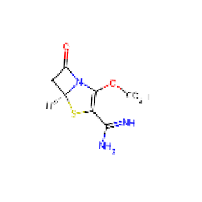 N=C(N)C1=C(OC(=O)O)N2C(=O)C[C@@H]2S1